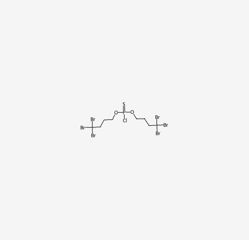 S=P(Cl)(OCCCC(Br)(Br)Br)OCCCC(Br)(Br)Br